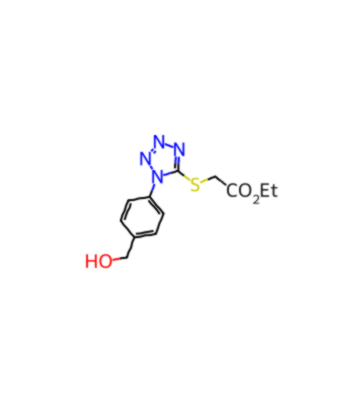 CCOC(=O)CSc1nnnn1-c1ccc(CO)cc1